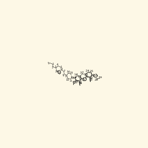 CCCC1CCC(CCC2CCC(c3cc4c(c(F)c3F)Oc3c(ccc(OCC)c3F)C4)CC2)OC1